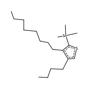 CCCCCCCCc1c(CCCC)cs[c]1[Sn]([CH3])([CH3])[CH3]